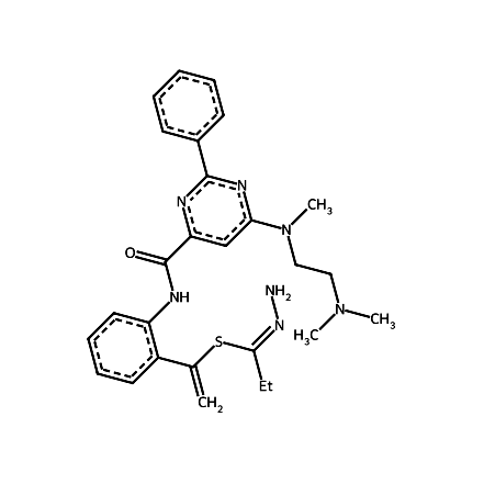 C=C(S/C(CC)=N\N)c1ccccc1NC(=O)c1cc(N(C)CCN(C)C)nc(-c2ccccc2)n1